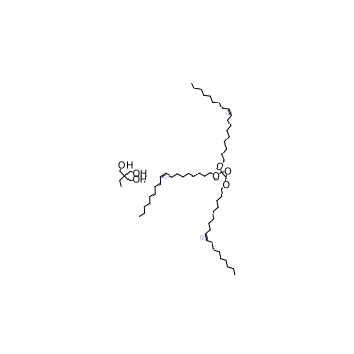 CCC(CO)(CO)CO.CCCCCCCC/C=C\CCCCCCCCOC1OC1(OCCCCCCCC/C=C\CCCCCCCC)OCCCCCCCC/C=C\CCCCCCCC